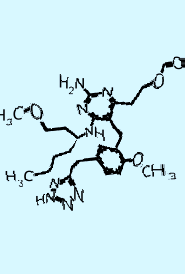 CCCC[C@@H](CCOC)Nc1nc(N)nc(CCOC=O)c1Cc1cc(Cc2nn[nH]n2)ccc1OC